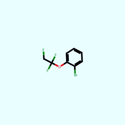 FCC(F)(F)Oc1ccccc1Br